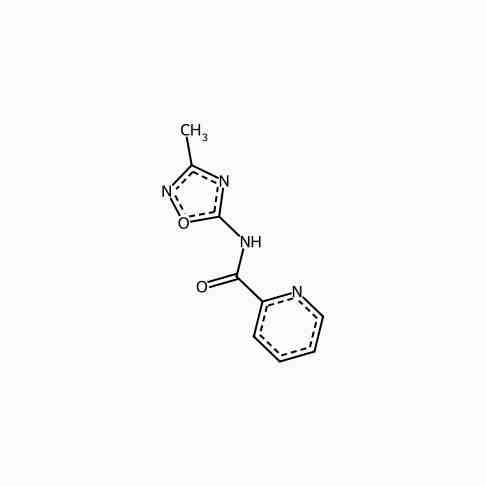 Cc1noc(NC(=O)c2ccccn2)n1